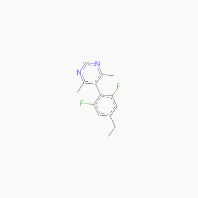 CCc1cc(F)c(-c2c(C)n[c]nc2C)c(F)c1